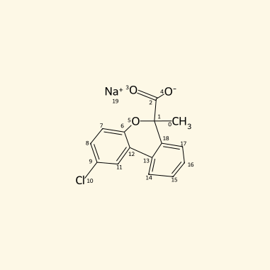 CC1(C(=O)[O-])Oc2ccc(Cl)cc2-c2ccccc21.[Na+]